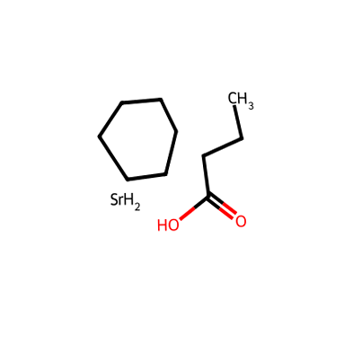 C1CCCCC1.CCCC(=O)O.[SrH2]